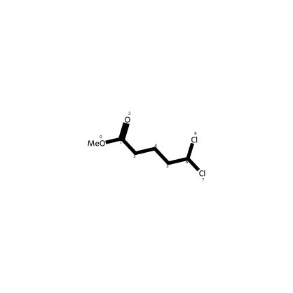 COC(=O)CCCC(Cl)Cl